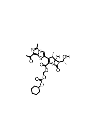 CC(=O)c1nc(C)n2cc(C3=C(C(=O)OCOC(=O)OC4CCCCC4)N4C(=O)[C@H]([C@@H](C)O)[C@H]4[C@H]3C)sc12